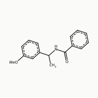 COc1cccc(C(C)NC(=O)c2ccccc2)c1